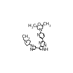 CCN1CCC(n2cc(-c3c[nH]c4ncc(-c5ccc(N6C[C@H](C)O[C@@H](C)C6)nc5)nc34)cn2)CC1